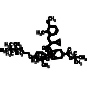 COc1cccc(CN(C(=O)C2=C(c3ccc(OCCO[Si](C)(C)C(C)(C)C)cc3)CC3CN(C(=O)OC(C)(C)C)CC2N3C(=O)OC(C)(C)C)C2CC2)c1C